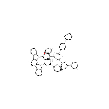 c1ccc(-c2ccc(-c3nc(-c4ccc(-n5c6ccccc6c6ccc7c8ccccc8n(-c8nc(-c9ccccc9)nc(-c9ccccc9)n8)c7c65)cc4)nc(-c4cccc(-c5ccccc5)c4)n3)cc2)cc1